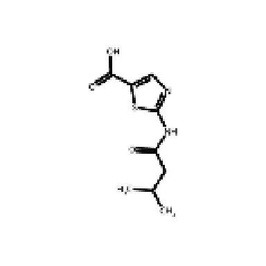 CC(C)CC(=O)Nc1ncc(C(=O)O)s1